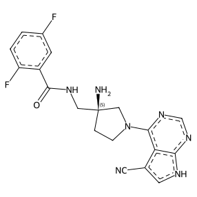 N#Cc1c[nH]c2ncnc(N3CC[C@](N)(CNC(=O)c4cc(F)ccc4F)C3)c12